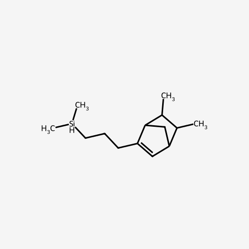 CC1C2C=C(CCC[SiH](C)C)C(C2)C1C